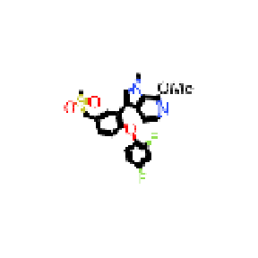 COc1nccc2c(-c3cc(CS(C)(=O)=O)ccc3Oc3ccc(F)cc3F)cn(C)c12